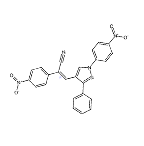 N#C/C(=C\c1cn(-c2ccc([N+](=O)[O-])cc2)nc1-c1ccccc1)c1ccc([N+](=O)[O-])cc1